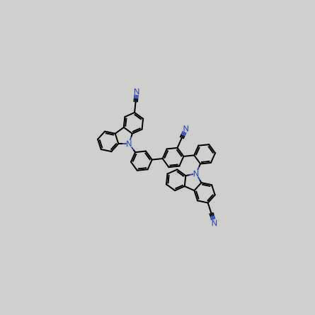 N#Cc1ccc2c(c1)c1ccccc1n2-c1cccc(-c2ccc(-c3ccccc3-n3c4ccccc4c4cc(C#N)ccc43)c(C#N)c2)c1